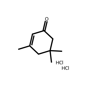 CC1=CC(=O)CC(C)(C)C1.Cl.Cl